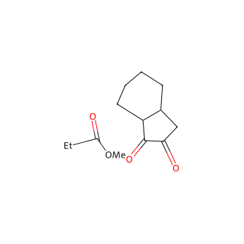 CCC(=O)OC.O=C1CC2CCCCC2C1=O